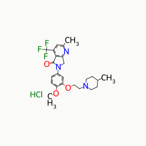 COc1ccc(N2Cc3nc(C)cc(C(F)(F)F)c3C2=O)cc1OCCN1CCC(C)CC1.Cl